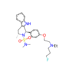 CCN(CCCF)CCOc1ccc([C@@H]2c3[nH]c4ccccc4c3C[C@@H](C)N2S(=O)(=O)N(C)C)cc1